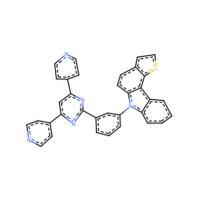 c1cc(-c2nc(-c3ccncc3)cc(-c3ccncc3)n2)cc(-n2c3ccccc3c3c4sccc4ccc32)c1